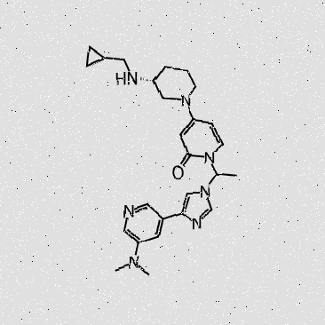 CC(n1cnc(-c2cncc(N(C)C)c2)c1)n1ccc(N2CCC[C@@H](NCC3CC3)C2)cc1=O